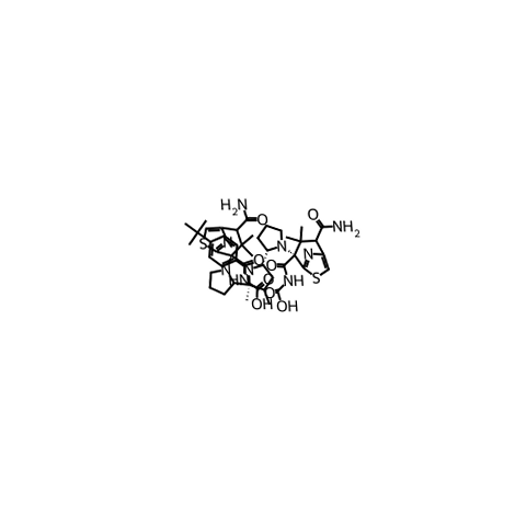 CC1C[C@@H](C2CCCN2[C@@]2(C(=O)NC(=O)O)c3nc(cs3)C(C(N)=O)C2(C)C)N(c2ccc(C(C)(C)C)cc2)[C@]1(C)C1CCCN1[C@@]1(C(=O)NC(=O)O)c2nc(cs2)C(C(N)=O)C1(C)C